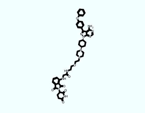 Nc1ncnc2c1c(-c1ccc(Oc3ccccc3)cc1)nn2[C@H]1CC[C@H](N2CCN(CCOCCNC(=O)CNc3cccc4c3C(=O)N(C3CCC(=O)NC3=O)C4=O)CC2)CC1